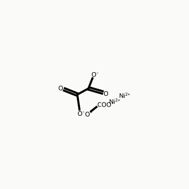 O=C([O-])C(=O)[O-].O=C([O-])[O-].[Ni+2].[Ni+2]